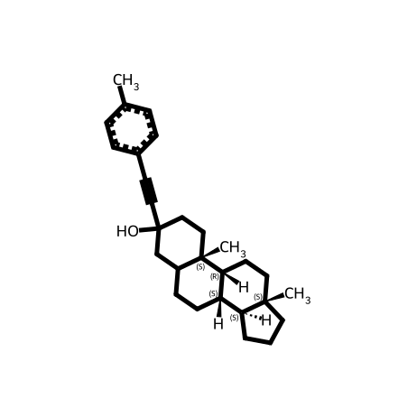 Cc1ccc(C#CC2(O)CC[C@@]3(C)C(CC[C@@H]4[C@H]3CC[C@]3(C)CCC[C@@H]43)C2)cc1